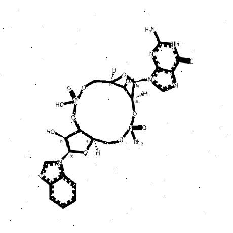 BP1(=O)OC[C@H]2O[C@@H](n3cnc4ccccc43)[C@@H](O)C2OP(=O)(O)OC[C@H]2O[C@@H](n3cnc4c(=O)[nH]c(N)nc43)[C@@H](O1)C2O